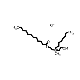 CCCCCCCCCCCC(=O)OCC[N+](C)(CCO)CCCCCCCC.[Cl-]